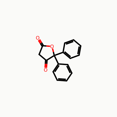 O=C1CC(=O)C(c2ccccc2)(c2ccccc2)O1